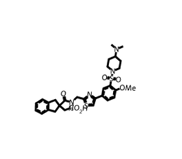 COc1ccc(-c2csc(CNC(=O)C3(CC(=O)O)Cc4ccccc4C3)n2)cc1S(=O)(=O)N1CCC(N(C)C)CC1